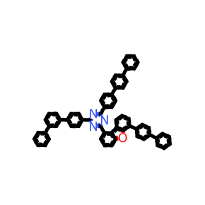 c1ccc(-c2ccc(-c3ccc(-c4nc(-c5ccc(-c6cccc(-c7ccccc7)c6)cc5)nc(-c5cccc6oc7c(-c8ccc(-c9ccccc9)cc8)cccc7c56)n4)cc3)cc2)cc1